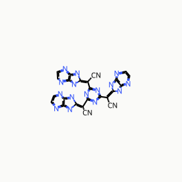 N#CC(=C1N=c2nccnc2=N1)c1nc(C(C#N)=C2N=c3nccnc3=N2)nc(C(C#N)=C2N=c3nccnc3=N2)n1